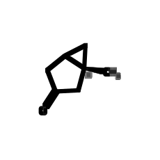 C[C@@]12CC(=O)CC1C2